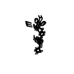 CCn1cnc2c1c(=O)[nH]c(=O)n2Cc1ccc(CNS(=O)(=O)CCc2ccccc2)cc1